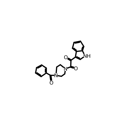 O=C(C(=O)N1CCN(C(=O)c2ccccc2)CC1)c1c[nH]c2ccccc12